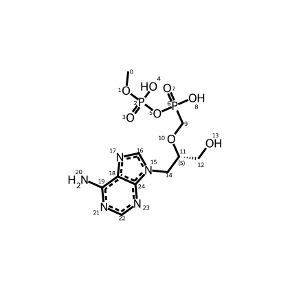 COP(=O)(O)OP(=O)(O)CO[C@H](CO)Cn1cnc2c(N)ncnc21